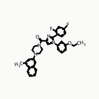 CCOc1cccc(-n2cc(C(=O)N3CCN(c4cc(C)c5ccccc5c4)CC3)nc2-c2ccc(F)cc2F)c1